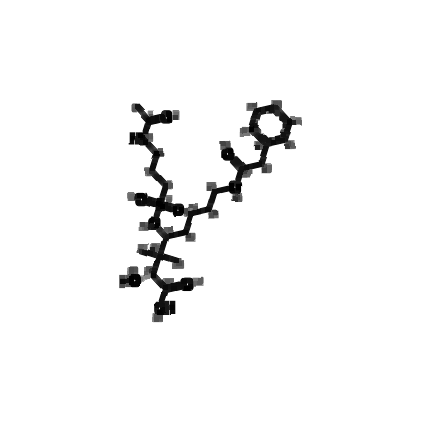 CC(=O)NCCCS(=O)(=O)OC(CCCCOC(=O)Cc1ccccc1)C(C)(C)[C@@H](O)C(=O)O